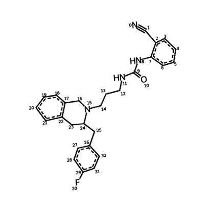 N#Cc1ccccc1NC(=O)NCCCN1Cc2ccccc2CC1Cc1ccc(F)cc1